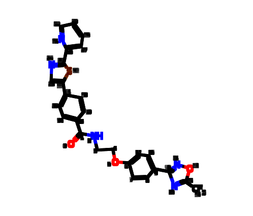 O=C(NCCOc1ccc(-c2noc(C(F)(F)F)n2)cc1)c1ccc(-c2cnc(-c3ccccn3)s2)cc1